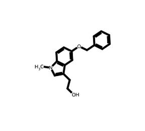 Cn1cc(CCO)c2cc(OCc3ccccc3)ccc21